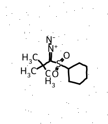 CC(C)(C)C(=[N+]=[N-])S(=O)(=O)C1CCCCC1